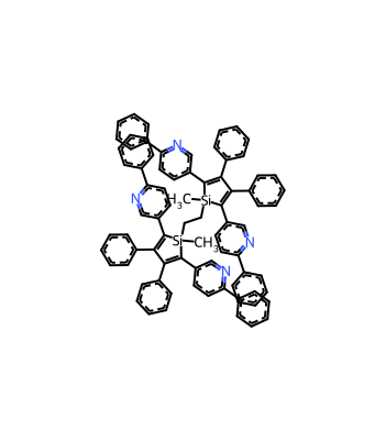 C[Si]1(CC[Si]2(C)C(c3ccc(-c4ccccc4)nc3)=C(c3ccccc3)C(c3ccccc3)=C2c2ccc(-c3ccccc3)nc2)C(c2ccc(-c3ccccc3)nc2)=C(c2ccccc2)C(c2ccccc2)=C1c1ccc(-c2ccccc2)nc1